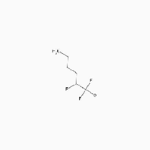 CCCCC(F)C([O])(F)F